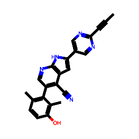 CC#Cc1ncc(-c2cc3c(C#N)c(-c4c(C)ccc(O)c4C)cnc3[nH]2)cn1